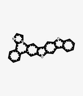 c1ccc2c(c1)oc1cc3c(cc12)oc1cc2c4ccccc4c4nccn4c2cc13